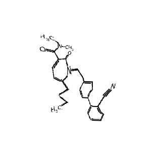 CCCCc1ccc(C(=O)N(C)C)c(=O)n1Cc1ccc(-c2ccccc2C#N)cc1